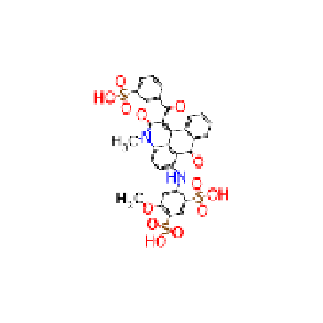 COc1cc(Nc2ccc3c4c2C(=O)c2ccccc2-c4c(C(=O)c2cccc(S(=O)(=O)O)c2)c(=O)n3C)c(S(=O)(=O)O)cc1S(=O)(=O)O